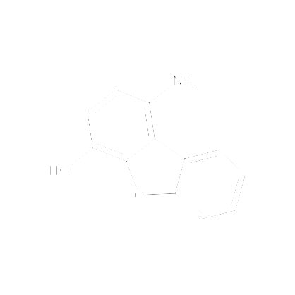 Nc1ccc(O)c2oc3ccccc3c12